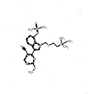 CSc1ncc(C#N)c(-c2cn(COCC[Si](C)(C)C)c3c(N=S(C)(C)=O)cccc23)n1